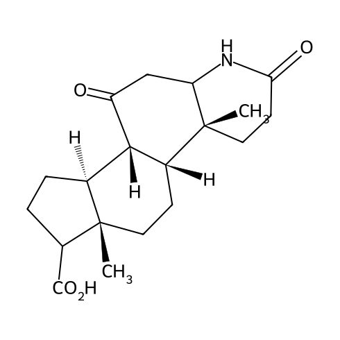 C[C@]12CCC(=O)NC1CC(=O)[C@@H]1[C@H]2CC[C@]2(C)C(C(=O)O)CC[C@@H]12